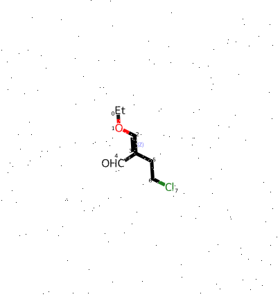 CCO/C=C(\C=O)CCCl